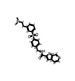 CN(C)CCc1cccc(S(=O)(=O)c2ccc(CNC(=O)c3cc4ccncc4s3)cc2)c1